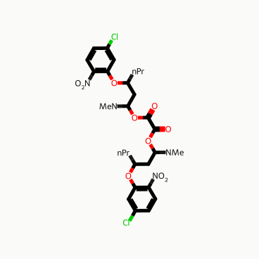 CCCC(CC(NC)OC(=O)C(=O)OC(CC(CCC)Oc1cc(Cl)ccc1[N+](=O)[O-])NC)Oc1cc(Cl)ccc1[N+](=O)[O-]